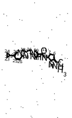 Cc1[nH]nc2c1CCC2NC(=O)c1cnn(Cc2cn3cc(C4CC4)ccc3n2)c1